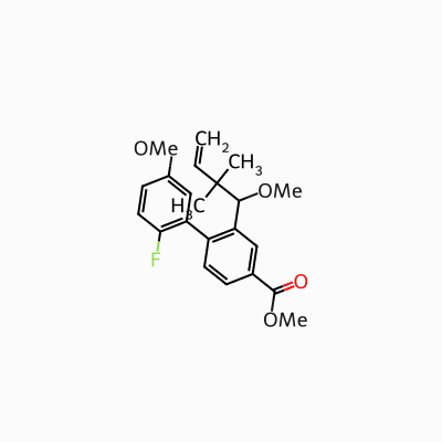 C=CC(C)(C)C(OC)c1cc(C(=O)OC)ccc1-c1cc(OC)ccc1F